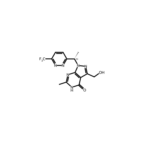 Cc1nc2c(c(CO)nn2[C@@H](C)c2ccc(C(F)(F)F)nn2)c(=O)[nH]1